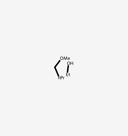 CCCCOC.CCO